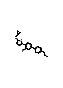 CCCc1ccc(-c2ccc(-c3ccc(OC4CC4)s3)c(F)c2)cc1